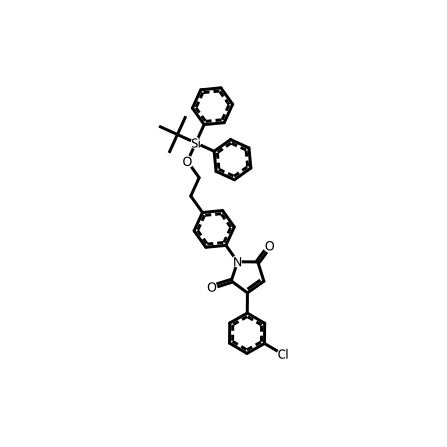 CC(C)(C)[Si](OCCc1ccc(N2C(=O)C=C(c3cccc(Cl)c3)C2=O)cc1)(c1ccccc1)c1ccccc1